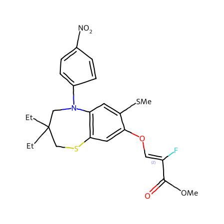 CCC1(CC)CSc2cc(O/C=C(\F)C(=O)OC)c(SC)cc2N(c2ccc([N+](=O)[O-])cc2)C1